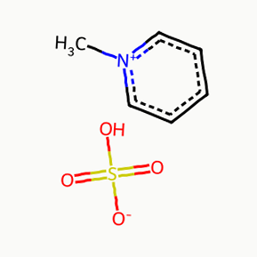 C[n+]1ccccc1.O=S(=O)([O-])O